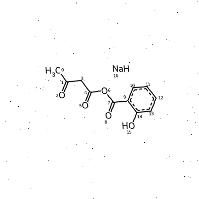 CC(=O)CC(=O)OC(=O)c1ccccc1O.[NaH]